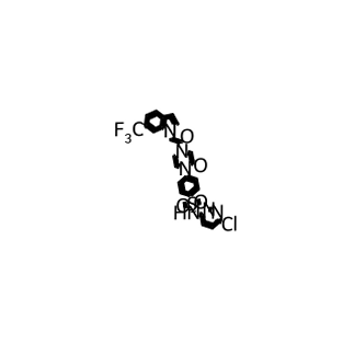 O=C(Cn1ccc2ccc(C(F)(F)F)cc21)N1CCN(c2ccc(S(=O)(=O)Nc3ccc(Cl)nn3)cc2)C(=O)C1